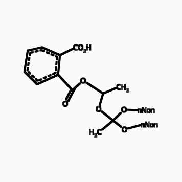 CCCCCCCCCOC(C)(OCCCCCCCCC)OC(C)OC(=O)c1ccccc1C(=O)O